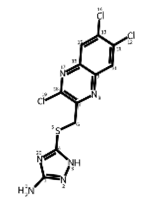 Nc1n[nH]c(SCc2nc3cc(Cl)c(Cl)cc3nc2Cl)n1